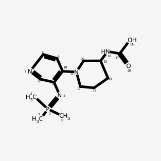 CP(C)(C)=Nc1cnccc1N1CCCC(NC(=O)O)C1